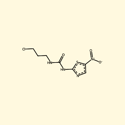 O=C(NCCCCl)Nc1ncc([N+](=O)[O-])s1